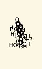 CC1C[C@H]2[C@@H]3CCC4=CC(=O)C=C[C@]4(C)[C@@]3(F)C(O)C[C@]2(C)[C@@]1(O)C(=O)C[C@@H]1O[C@H](CO)[C@H](O)[C@H](O)[C@H]1O